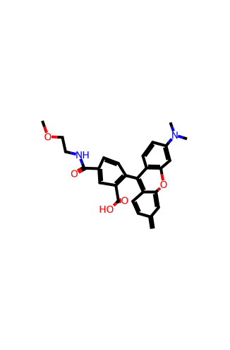 C=c1ccc2c(c1)Oc1cc(N(C)C)ccc1C=2c1ccc(C(=O)NCCOC)cc1C(=O)O